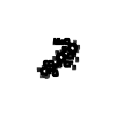 COc1ccccc1Sc1ccc(C=CC(=O)N2CCCC2C(=O)O)c(C(F)(F)F)c1C(F)(F)F